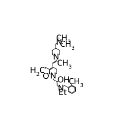 C=CC1=C(/C=C(\C)N2CCC(CN(C)C)CC2)CCN(CC(O)CN(CC)Cc2ccccc2C)C1=O